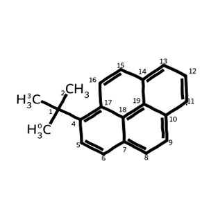 CC(C)(C)c1ccc2ccc3[c]ccc4ccc1c2c34